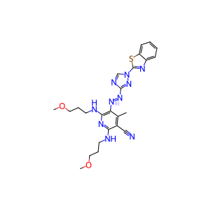 COCCCNc1nc(NCCCOC)c(/N=N/c2ncn(-c3nc4ccccc4s3)n2)c(C)c1C#N